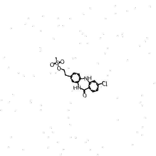 CS(=O)(=O)OCCc1ccc2c(c1)NC(=O)c1ccc(Cl)cc1N2